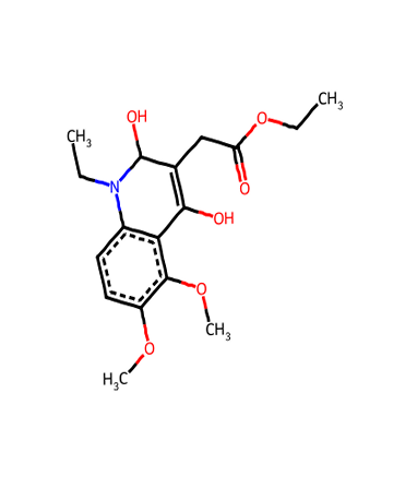 CCOC(=O)CC1=C(O)c2c(ccc(OC)c2OC)N(CC)C1O